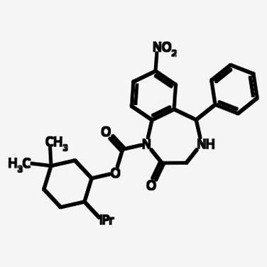 CC(C)C1CCC(C)(C)CC1OC(=O)N1C(=O)CNC(c2ccccc2)c2cc([N+](=O)[O-])ccc21